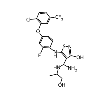 CC(CO)NC(N)c1c(O)nsc1Nc1ccc(Oc2cc(C(F)(F)F)ccc2Cl)cc1F